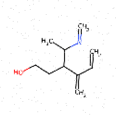 C=CC(=C)C(CCO)C(C)N=C